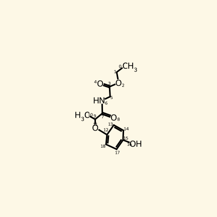 CCOC(=O)CNC(=O)C(C)Oc1ccc(O)cc1